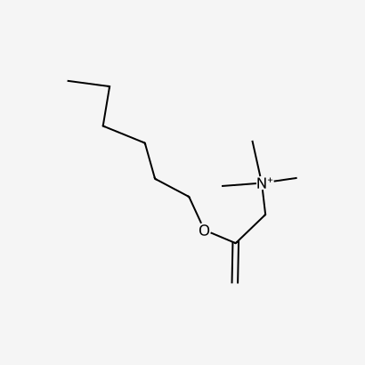 C=C(C[N+](C)(C)C)OCCCCCC